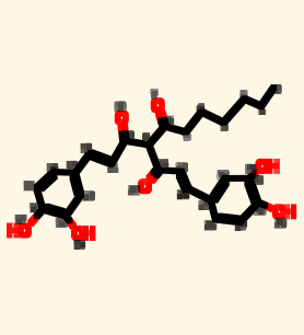 CCCCCCC(=O)C(C(=O)C=Cc1ccc(O)c(O)c1)C(=O)C=Cc1ccc(O)c(O)c1